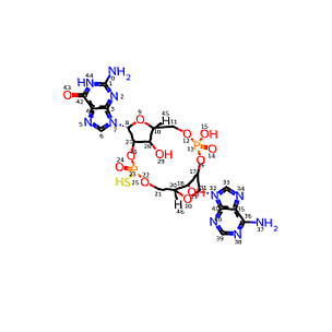 Nc1nc2c(ncn2[C@@H]2O[C@@H]3COP(=O)(O)OC4C(O)[C@@H](COP(=O)(S)OC2C3O)O[C@H]4n2cnc3c(N)ncnc32)c(=O)[nH]1